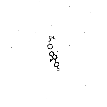 CCC[C@H]1CC[C@H](c2ccc3c(F)c(-c4ccc(Cl)cc4)ccc3c2)CC1